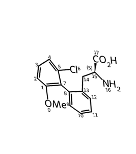 COc1cccc(Cl)c1-c1ccccc1C[C@H](N)C(=O)O